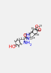 NC(Cc1ccc(O)cc1)C(=O)NC1Cc2cc3c(cc2C1)OCO3